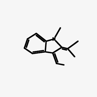 C/C=c1\c(=C(C)C)n(C)c2ccccc12